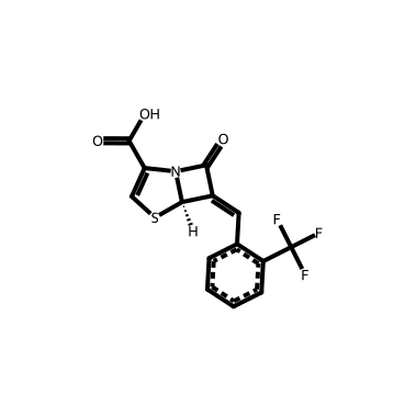 O=C(O)C1=CS[C@@H]2C(=Cc3ccccc3C(F)(F)F)C(=O)N12